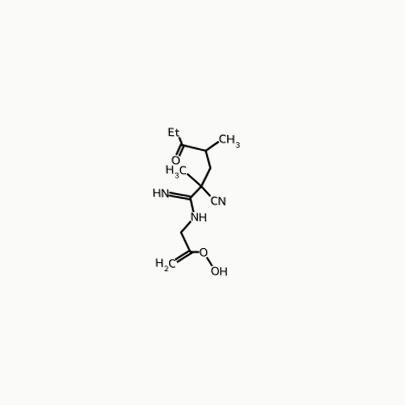 C=C(CNC(=N)C(C)(C#N)CC(C)C(=O)CC)OO